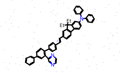 CCC1(CC)c2cc(/C=C/c3ccc(-c4ccc(-c5ccccc5)cc4-c4cnccn4)cc3)ccc2-c2ccc(N(c3ccccc3)c3ccccc3)cc21